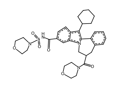 O=C(NS(=O)(=O)N1CCOCC1)c1ccc2c(C3CCCCC3)c3n(c2c1)CC(C(=O)N1CCOCC1)Cc1ccccc1-3